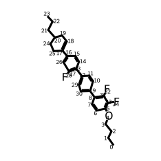 CCCCOc1ccc(-c2ccc(-c3ccc(C4=CCC(CCC)CC4)cc3F)cc2)c(F)c1F